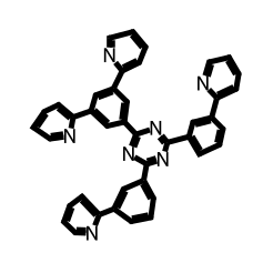 c1ccc(-c2cccc(-c3nc(-c4cccc(-c5ccccn5)c4)nc(-c4cc(-c5ccccn5)cc(-c5ccccn5)c4)n3)c2)nc1